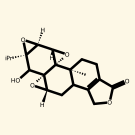 CC(C)[C@]12O[C@H]1[C@@H]1O[C@@]13[C@@]1(C)CCC4=C(COC4=O)C1C[C@@H]1O[C@@]13C2O